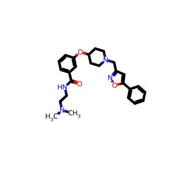 CN(C)CCNC(=O)c1cccc(OC2CCN(Cc3cc(-c4ccccc4)on3)CC2)c1